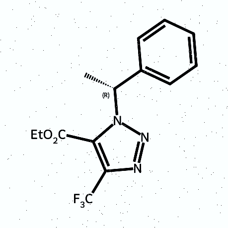 CCOC(=O)c1c(C(F)(F)F)nnn1[C@H](C)c1ccccc1